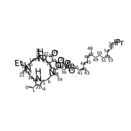 C=Cc1c(C)c2cc3nc(c4c5[nH]c(cc6nc(cc1[nH]2)C(C)=C6CC)c(C)c5C(=O)C4C(=O)OC)[C@H](CCC(=O)OC/C=C(/C)CCCC(C)CCCC(C)CCCC(C)C)[C@H]3C